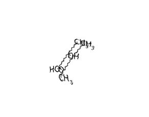 CCCCCCCC(O)CCCCCCCC(=O)O.CCCCCCCCCCCCCCCCCCCC